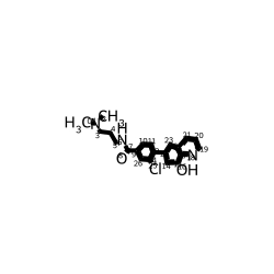 CN(C)CCCNC(=O)c1ccc(-c2cc(O)c3ncccc3c2)c(Cl)c1